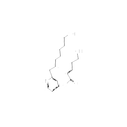 CCCC=CC(=O)O.CCCCCCCCc1ccccn1